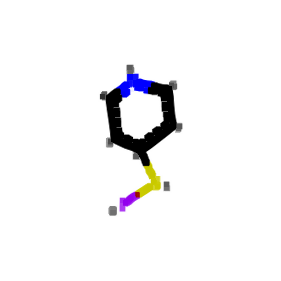 ISc1ccncc1